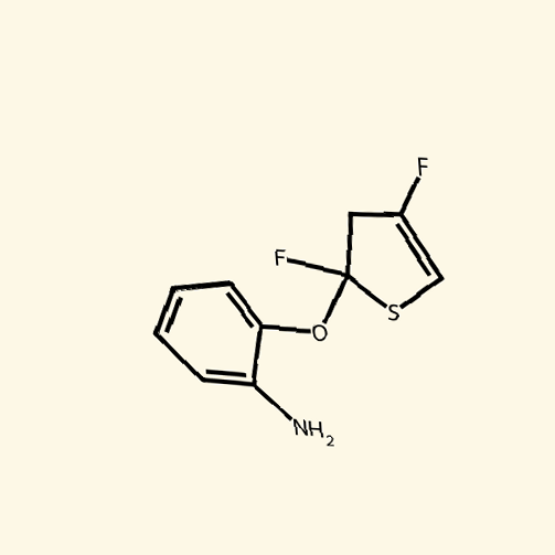 Nc1ccccc1OC1(F)CC(F)=CS1